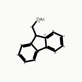 [C]C(=O)OCC1c2ccccc2-c2ccccc21